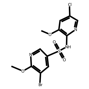 COc1cc(Cl)cnc1NS(=O)(=O)c1cnc(OC)c(Br)c1